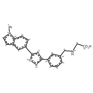 CC(C)n1ccc2cc(-c3nc(-c4cccc(CNCC(=O)O)c4)no3)ccc21